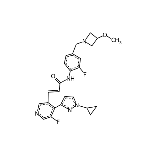 COC1CN(Cc2ccc(NC(=O)/C=C/c3cncc(F)c3-c3ccn(C4CC4)n3)c(F)c2)C1